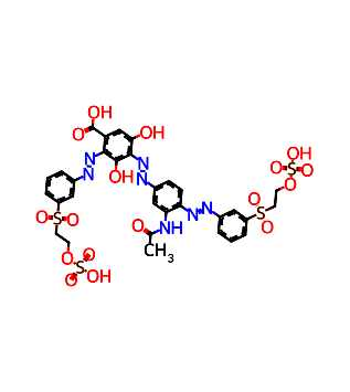 CC(=O)Nc1cc(N=Nc2c(O)cc(C(=O)O)c(N=Nc3cccc(S(=O)(=O)CCOS(=O)(=O)O)c3)c2O)ccc1N=Nc1cccc(S(=O)(=O)CCOS(=O)(=O)O)c1